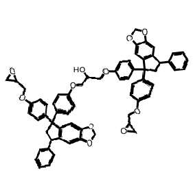 OC(COc1ccc(C2(c3ccc(OCC4CO4)cc3)CC(c3ccccc3)c3cc4c(cc32)OCO4)cc1)COc1ccc(C2(c3ccc(OCC4CO4)cc3)CC(c3ccccc3)c3cc4c(cc32)OCO4)cc1